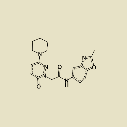 Cc1nc2cc(NC(=O)Cn3nc(N4CCCCC4)ccc3=O)ccc2o1